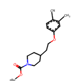 Cc1cc(OCCC2CCN(C(=O)OC(C)(C)C)CC2)ccc1C#N